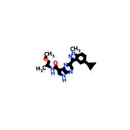 COC[C@H](C)NC(=O)c1c[nH]c2ncc(-c3nn(C)c4ccc(C5CC5)cc34)nc12